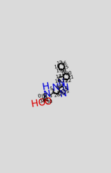 C[C@H](NCc1cnc2c(N3CCc4c(-c5ccccc5)cccc43)ncnc2c1)C(=O)O